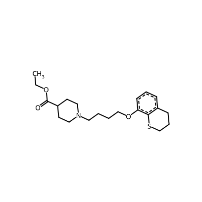 CCOC(=O)C1CCN(CCCCOc2cccc3c2SCCC3)CC1